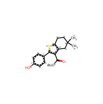 CC(C)COC(=O)c1c(-c2ccc(O)cc2)sc2c1CC(C)(C)CC2